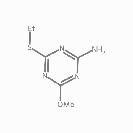 CCSc1nc(N)nc(OC)n1